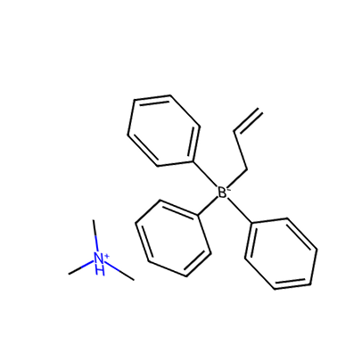 C=CC[B-](c1ccccc1)(c1ccccc1)c1ccccc1.C[NH+](C)C